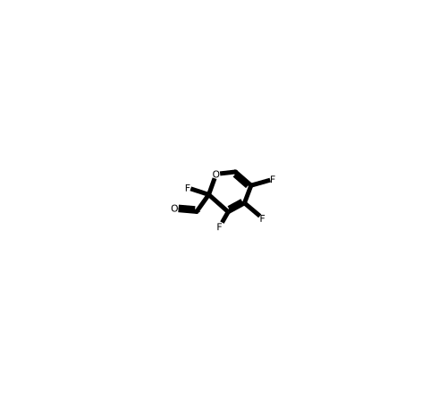 O=[C]C1(F)OC=C(F)C(F)=C1F